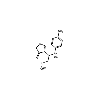 Cl.Nc1ccc(NC(COC=O)C2=COCC2=O)cc1